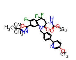 CC(C)(C)OC(=O)N[C@H]1CC(F)(F)c2cc(F)c(-c3nnc(C(C)(C)C#N)o3)cc2N(Cc2ccc(-c3ccc(OC(F)(F)F)cn3)cc2)C1=O